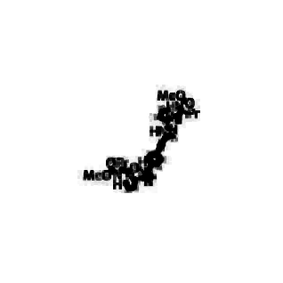 C=C([C@@H](NC(=O)OC)C(C)C)N1CCC[C@H]1c1ncc(C#Cc2ccc(-c3cnc([C@@H]4CCCN4C(=O)[C@@H](NC(=O)OC)C(C)C)[nH]3)cc2)[nH]1